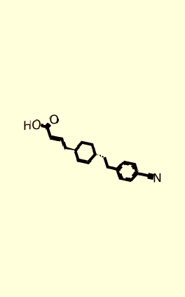 N#Cc1ccc(CC[C@H]2CC[C@H](C/C=C/C(=O)O)CC2)cc1